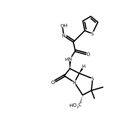 CC1(C)S[C@H]2[C@H](NC(=O)C(=NO)c3cccs3)C(=O)N2[C@H]1C(=O)O